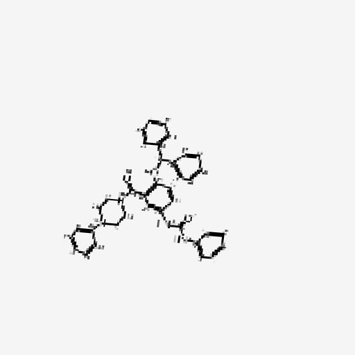 O=C(Nc1ccccc1)Nc1ccc(OC(c2ccccc2)c2ccccc2)c(C(=O)N2CCN(c3ccccc3)CC2)c1